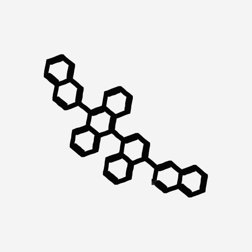 c1ccc2cc(-c3c4ccccc4c(-c4ccc(-c5cc6ccccc6cn5)c5ccccc45)c4ccccc34)ccc2c1